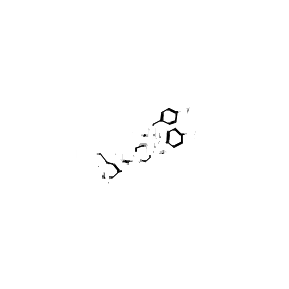 O=C(NCc1ccc(OC(F)(F)F)cc1)[C@H]1CN(c2nc3c(CO)nncc3s2)CCN1S(=O)(=O)c1ccc(OC(F)(F)F)cc1